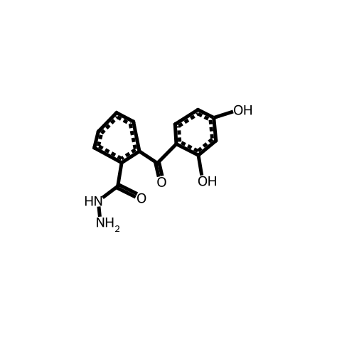 NNC(=O)c1ccccc1C(=O)c1ccc(O)cc1O